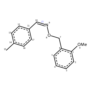 COc1ccccc1CO/N=[C]\c1ccc(C)cc1